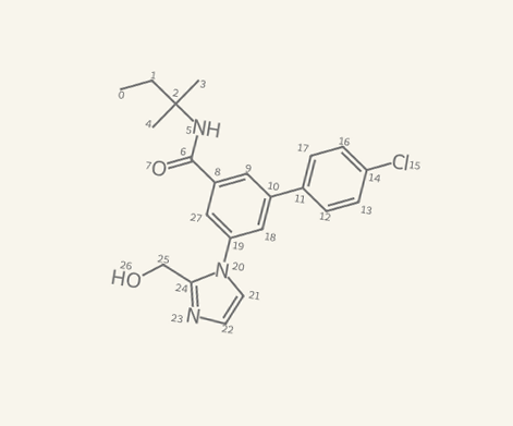 CCC(C)(C)NC(=O)c1cc(-c2ccc(Cl)cc2)cc(-n2ccnc2CO)c1